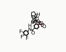 O=C(Nc1cc(F)c(F)c(F)c1)c1ccc(Cl)c(S(=O)(=O)[C@@H]2CC3CC[C@@H](C2)[C@@]3(O)CC(=O)N2CC3(COC3)C2)c1